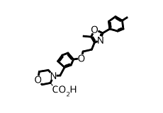 Cc1ccc(-c2nc(CCOc3cccc(CN4CCOC[C@H]4C(=O)O)c3)c(C)o2)cc1